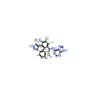 Cc1c(Cl)c(F)c(C(C)Nc2ncnc3[nH]cnc23)c(-c2cccc(F)c2)c1-c1cn[nH]c1